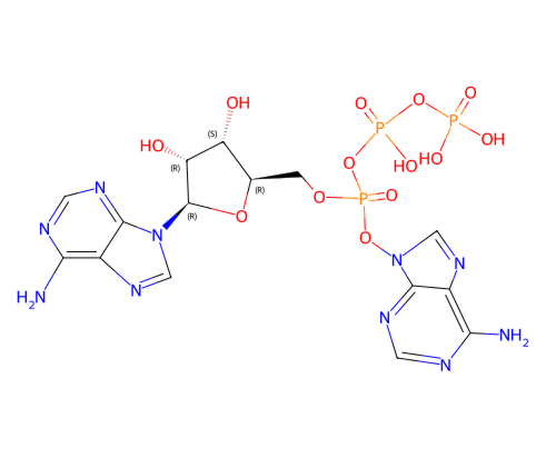 Nc1ncnc2c1ncn2OP(=O)(OC[C@H]1O[C@@H](n2cnc3c(N)ncnc32)[C@H](O)[C@@H]1O)OP(=O)(O)OP(=O)(O)O